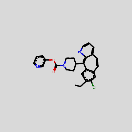 CCc1cc2c(cc1Cl)C=CC1=CC=CNC1=C2C1CCN(C(=O)Oc2cccnc2)CC1